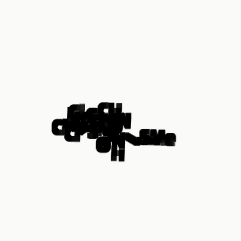 CSCCNS(=O)(=O)N(SC(Cl)(Cl)C(Cl)Cl)C(C)(C)C#N